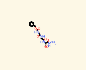 NNC(=O)[C@H](CO)NC(=O)CNC(=O)CNC(=O)OCc1ccccc1